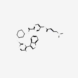 CN(C)C/C=C/C(=O)Nc1cnc(C(=O)N[C@H]2CCC[C@@H](Nc3ncc(Cl)c(-c4c[nH]c5ccccc45)n3)C2)nc1